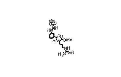 COC(=O)C(CCCNC(=N)N)NC(=O)c1cccc(NNC(=O)OC(C)(C)C)c1